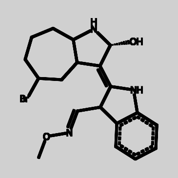 CO/N=C/C1/C(=C2\C3CC(Br)CCCC3N[C@@H]2O)Nc2ccccc21